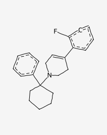 Fc1ccccc1C1=CCN(C2(c3ccccc3)CCCCC2)CC1